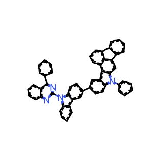 c1ccc(-c2nc(-n3c4ccccc4c4cc(-c5ccc6c(c5)c5c7cccc8c7c(cc5n6-c5ccccc5)-c5ccccc5-8)ccc43)nc3ccccc23)cc1